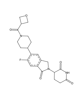 O=C1CCC(N2Cc3cc(C4CCN(C(=O)C5COC5)CC4)c(F)cc3C2=O)C(=O)N1